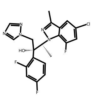 Cc1nn([C@H](C)[C@](O)(Cn2cncn2)c2ccc(F)cc2F)c2c(F)cc(Cl)cc12